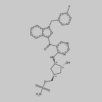 NS(=O)(=O)OC[C@@H]1C[C@@H](O)[C@H](Nc2ncncc2C(=O)c2cn(Cc3cccc(F)c3)c3ccccc23)C1